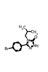 CC(C)Cn1c(-c2ccc(Br)cc2)n[nH]c1=O